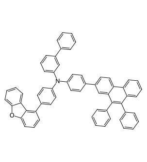 c1ccc(-c2cccc(N(c3ccc(-c4ccc5c(c4)c(-c4ccccc4)c(-c4ccccc4)c4ccccc45)cc3)c3ccc(-c4cccc5oc6ccccc6c45)cc3)c2)cc1